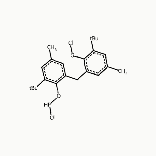 Cc1cc(Cc2cc(C)cc(C(C)(C)C)c2OPCl)c(OCl)c(C(C)(C)C)c1